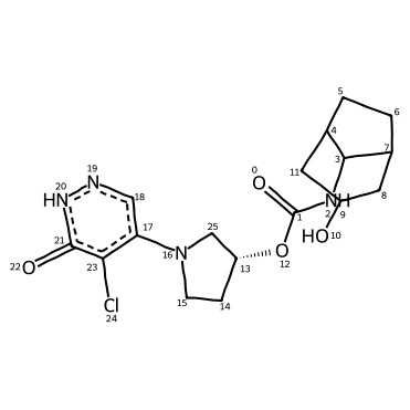 O=C(NC1C2CCC1CC(O)C2)O[C@@H]1CCN(c2cn[nH]c(=O)c2Cl)C1